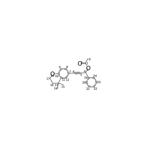 CC(=O)OC(C#Cc1ccc2c(c1)C(C)(C)CCO2)c1ccccc1